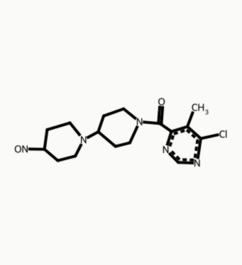 Cc1c(Cl)ncnc1C(=O)N1CCC(N2CCC(N=O)CC2)CC1